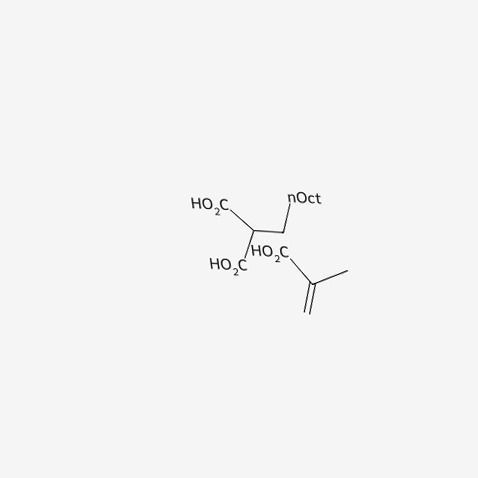 C=C(C)C(=O)O.CCCCCCCCCC(C(=O)O)C(=O)O